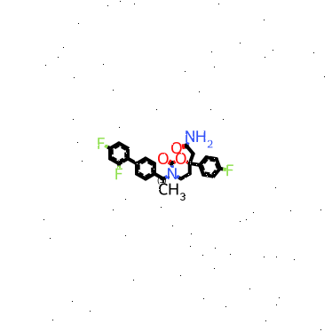 C[C@@H](c1ccc(-c2ccc(F)cc2F)cc1)N1CCC(CC(N)=O)(c2ccc(F)cc2)OC1=O